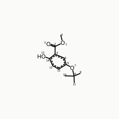 COC(=O)c1cc(OC(C)(C)C)ccc1O